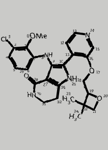 COc1c(Cl)cccc1Nc1c(-c2ccncc2OCC2OCC2(C)C)[nH]c2c1C(=O)NCC2